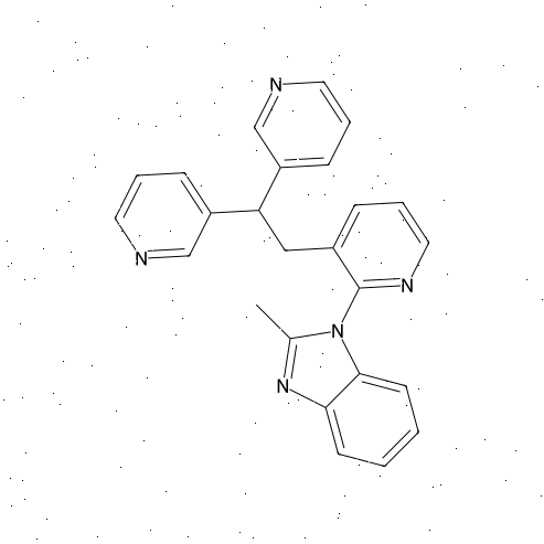 Cc1nc2ccccc2n1-c1ncccc1CC(c1cccnc1)c1cccnc1